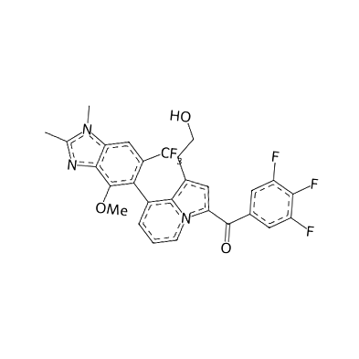 COc1c(-c2cccn3c(C(=O)c4cc(F)c(F)c(F)c4)cc(CCO)c23)c(C(F)(F)F)cc2c1nc(C)n2C